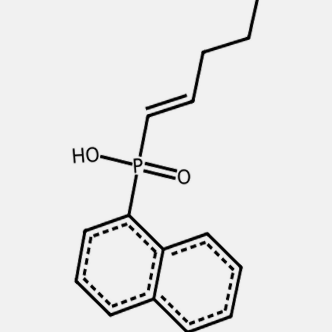 CCCC=CP(=O)(O)c1cccc2ccccc12